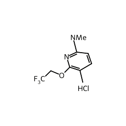 CNc1ccc(C)c(OCC(F)(F)F)n1.Cl